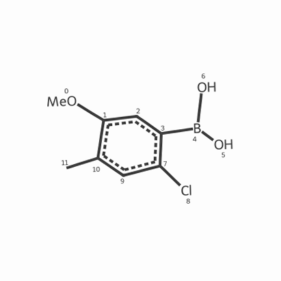 COc1cc(B(O)O)c(Cl)cc1C